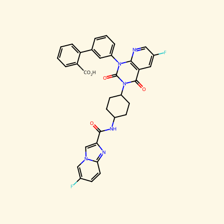 O=C(NC1CCC(n2c(=O)c3cc(F)cnc3n(-c3cccc(-c4ccccc4C(=O)O)c3)c2=O)CC1)c1cn2cc(F)ccc2n1